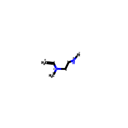 C=CN(C)CCNCC